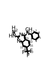 CN(c1ccccc1)c1nc(NN)nc2cc(C(F)(F)F)ccc12